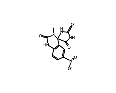 CN1C(=O)Nc2ccc([N+](=O)[O-])cc2C12NC(=O)NC2=O